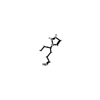 CCC(CCC=N)n1ccnn1